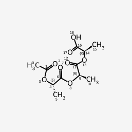 CC(=O)O[C@@H](C)C(=O)O[C@H](C)C(=O)O[C@H](C)C(=O)O